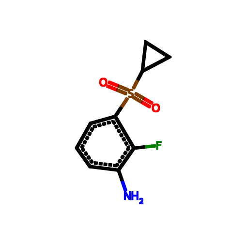 Nc1cccc(S(=O)(=O)C2CC2)c1F